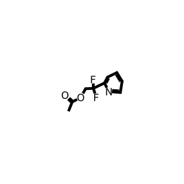 CC(=O)OCC(F)(F)c1ccccn1